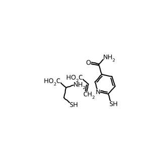 C=CC(=O)O.NC(=O)c1ccc(S)nc1.NC(CS)C(=O)O